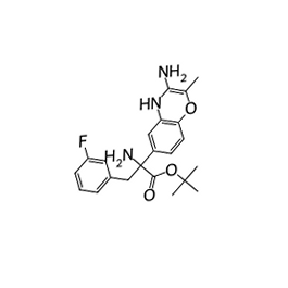 CC1=C(N)Nc2cc(C(N)(Cc3cccc(F)c3)C(=O)OC(C)(C)C)ccc2O1